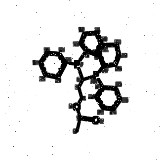 CC(=O)OCCC(P(c1ccccc1)c1ccccc1)P(c1ccccc1)c1ccccc1